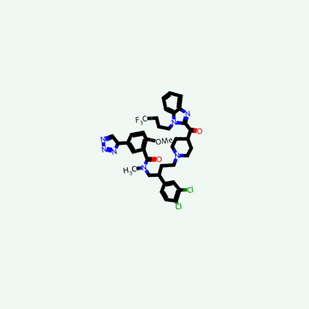 COc1ccc(C2C=NN=N2)cc1C(=O)N(C)CC(CCN1CCC(C(=O)c2nc3ccccc3n2CCCC(F)(F)F)CC1)c1ccc(Cl)c(Cl)c1